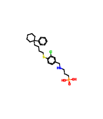 O=P(O)(O)CCCNCc1ccc(SCCCCC2(c3ccccc3)CCCCC2)c(Cl)c1